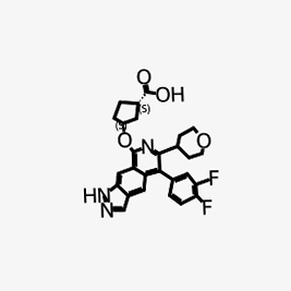 O=C(O)[C@H]1CC[C@H](Oc2nc(C3CCOCC3)c(-c3ccc(F)c(F)c3)c3cc4cn[nH]c4cc23)C1